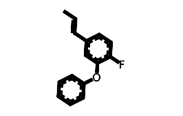 C/C=C/c1ccc(F)c(Oc2ccccc2)c1